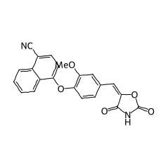 COc1cc(C=C2OC(=O)NC2=O)ccc1Oc1ccc(C#N)c2ccccc12